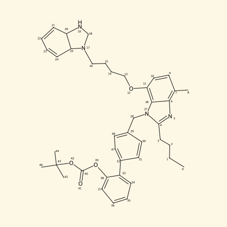 CCCCc1nc2c(C)ccc(OCCCCN3CNC4C=CC=CC43)c2n1Cc1ccc(-c2ccccc2OC(=O)OC(C)(C)C)cc1